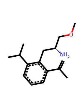 C=C(C)c1cccc(C(C)C)c1C[C@@H](N)COC